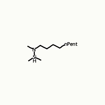 CCCCCCCCCN(C)[SiH](C)C